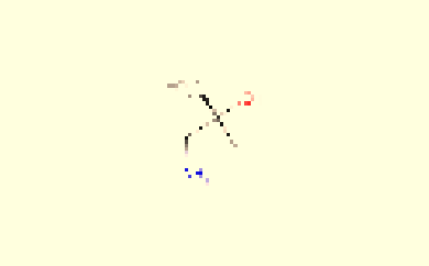 C[C@@](O)(CN)C(=O)O